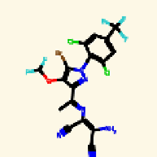 CC(=NC(C#N)=C(N)C#N)c1nn(-c2c(Cl)cc(C(F)(F)F)cc2Cl)c(Br)c1OC(F)F